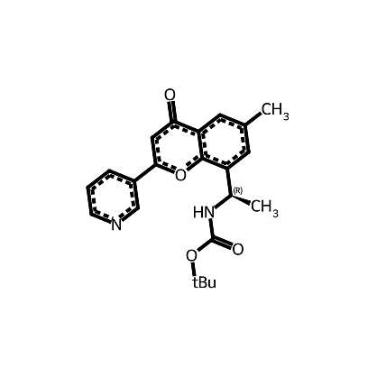 Cc1cc([C@@H](C)NC(=O)OC(C)(C)C)c2oc(-c3cccnc3)cc(=O)c2c1